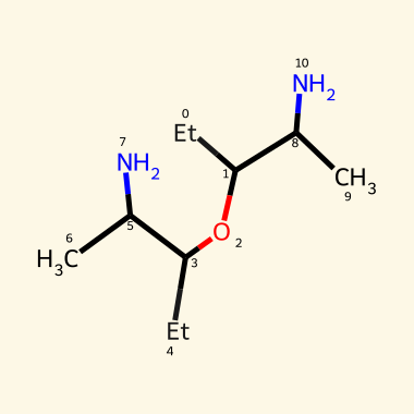 CCC(OC(CC)C(C)N)C(C)N